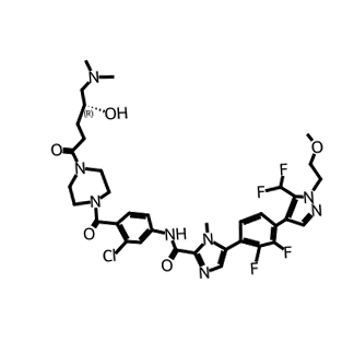 COCCn1ncc(-c2ccc(-c3cnc(C(=O)Nc4ccc(C(=O)N5CCN(C(=O)CC[C@@H](O)CN(C)C)CC5)c(Cl)c4)n3C)c(F)c2F)c1C(F)F